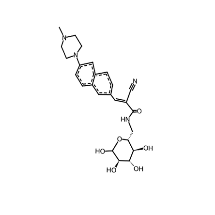 CN1CCN(c2ccc3cc(/C=C(\C#N)C(=O)NC[C@H]4OC(O)[C@H](O)[C@@H](O)[C@@H]4O)ccc3c2)CC1